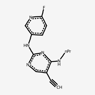 C#Cc1cnc(Nc2ccc(F)nc2)nc1NCCC